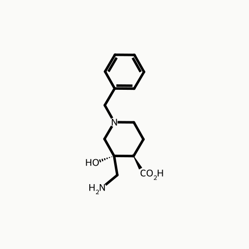 NC[C@@]1(O)CN(Cc2ccccc2)CC[C@H]1C(=O)O